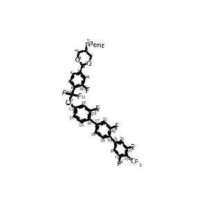 CCCCCC1COC(c2ccc(C(F)(F)Oc3ccc(-c4ccc(-c5cc(F)c(C(F)(F)F)c(F)c5)c(F)c4)c(F)c3)c(F)c2)OC1